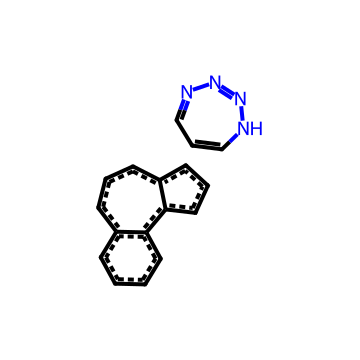 C1=CNN=NN=C1.c1cc2cccc3ccccc3c-2c1